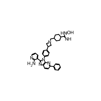 N=C(NO)C1CCC(CN2CC(c3ccc(-n4c(-c5cccnc5N)nc5ccc(-c6ccccc6)nc54)cc3)C2)CC1